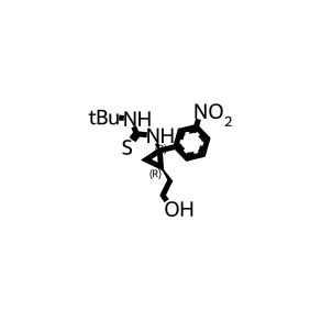 CC(C)(C)NC(=S)N[C@]1(c2cccc([N+](=O)[O-])c2)C[C@@H]1CCO